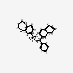 O=S(=O)(N[C@H](c1ccccc1)c1ccc2ccccc2c1)c1ccc2c(c1)OCCCO2